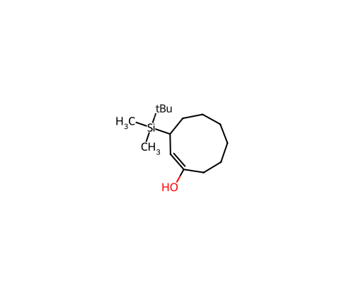 CC(C)(C)[Si](C)(C)C1C=C(O)CCCCCC1